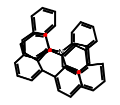 c1ccc(-c2ccccc2N(c2ccccc2-c2cccc3cccc(-c4ccccc4)c23)c2cccc3ccccc23)cc1